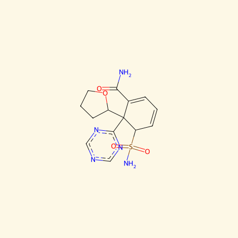 NC(=O)C1=CC=CC(S(N)(=O)=O)C1(c1ncncn1)C1CCCO1